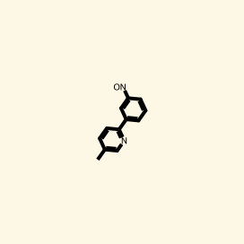 Cc1ccc(-c2cccc(N=O)c2)nc1